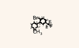 CN1CCC=C(c2cc(C(F)(F)F)ccc2Br)C1